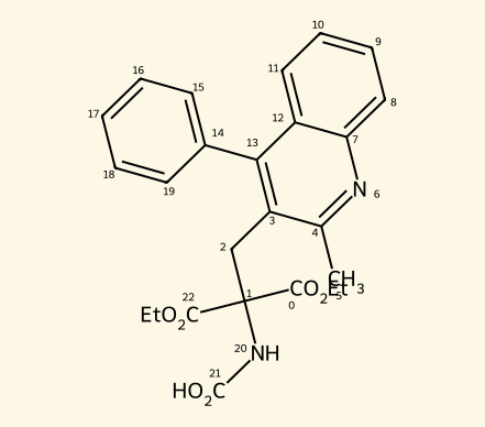 CCOC(=O)C(Cc1c(C)nc2ccccc2c1-c1ccccc1)(NC(=O)O)C(=O)OCC